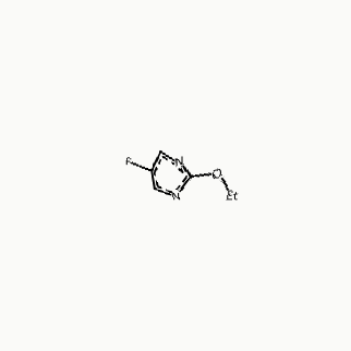 CCOc1ncc(F)cn1